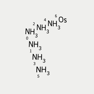 N.N.N.N.N.N.[Os]